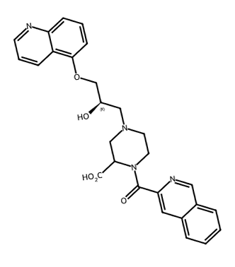 O=C(O)C1CN(C[C@@H](O)COc2cccc3ncccc23)CCN1C(=O)c1cc2ccccc2cn1